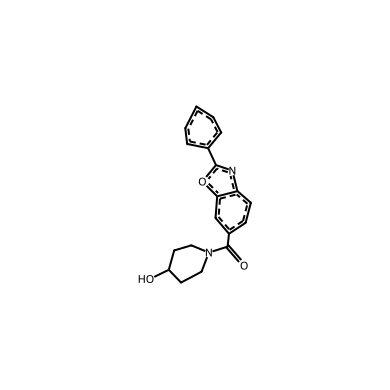 O=C(c1ccc2nc(-c3ccccc3)oc2c1)N1CCC(O)CC1